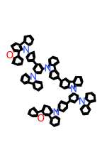 c1ccc2c(c1)oc1c2ccc2c1c1ccccc1n2-c1ccc(-c2cc(-n3c4ccccc4c4ccccc43)cc(-n3c4ccccc4c4cc(-c5ccc6c(c5)c5ccccc5n6-c5cc(-c6ccc(-n7c8ccccc8c8ccc9oc%10ccccc%10c9c87)cc6)cc(-n6c7ccccc7c7ccccc76)c5)ccc43)c2)cc1